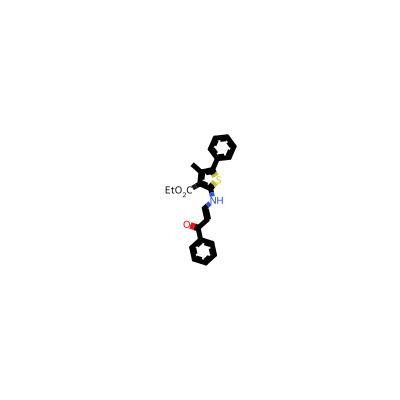 CCOC(=O)c1c(NC=CC(=O)c2ccccc2)sc(-c2ccccc2)c1C